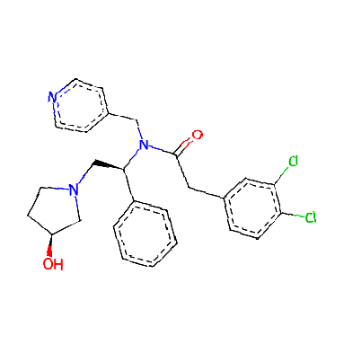 O=C(Cc1ccc(Cl)c(Cl)c1)N(Cc1ccncc1)[C@H](CN1CC[C@H](O)C1)c1ccccc1